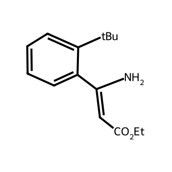 CCOC(=O)C=C(N)c1ccccc1C(C)(C)C